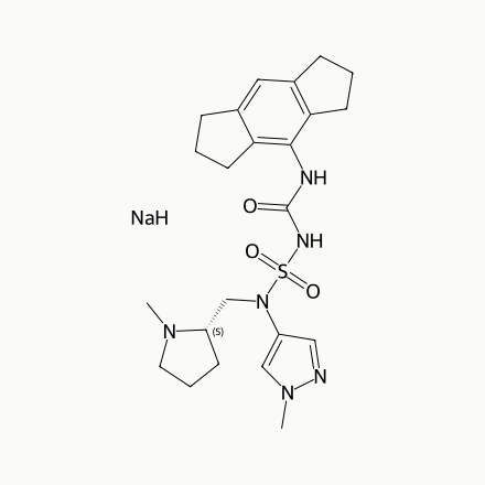 CN1CCC[C@H]1CN(c1cnn(C)c1)S(=O)(=O)NC(=O)Nc1c2c(cc3c1CCC3)CCC2.[NaH]